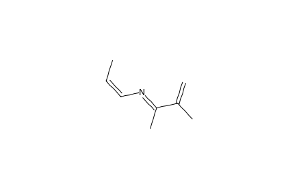 C=C(C)/C(C)=N/C=C\C